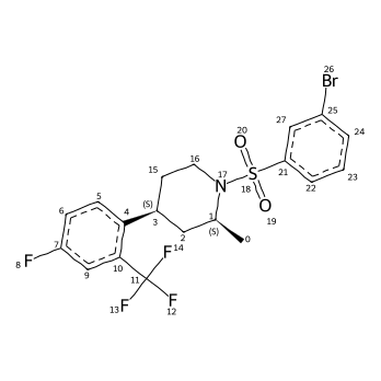 C[C@H]1C[C@@H](c2ccc(F)cc2C(F)(F)F)CCN1S(=O)(=O)c1cccc(Br)c1